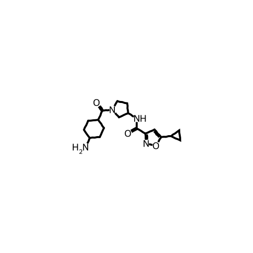 NC1CCC(C(=O)N2CCC(NC(=O)c3cc(C4CC4)on3)C2)CC1